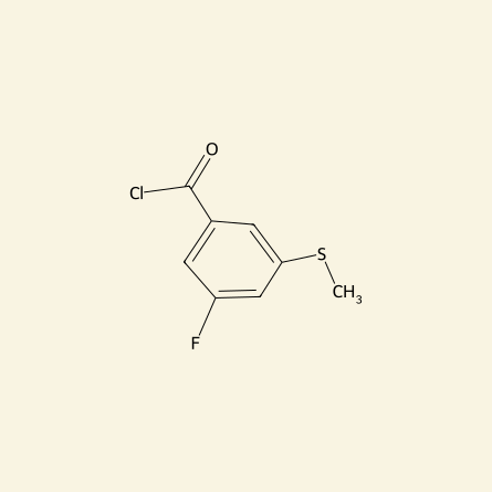 CSc1cc(F)cc(C(=O)Cl)c1